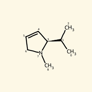 CC(C)[C@@H]1C=CCN1C